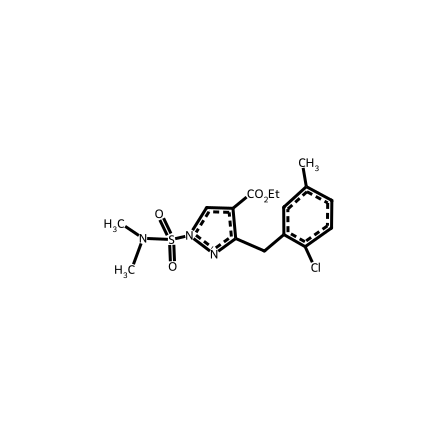 CCOC(=O)c1cn(S(=O)(=O)N(C)C)nc1Cc1cc(C)ccc1Cl